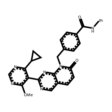 COc1ncnc(C2CC2)c1-c1ncc2ccc(=O)n(Cc3ccc(C(=O)NC(C)C)cc3)c2n1